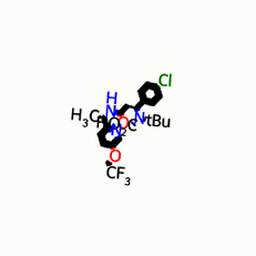 C[C@@H](NC(=O)C[C@@H](c1ccc(Cl)cc1)N(C(=O)O)C(C)(C)C)c1ccc(OCC(F)(F)F)cn1